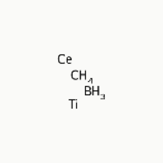 B.C.[Ce].[Ti]